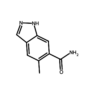 Cc1cc2cn[nH]c2cc1C(N)=O